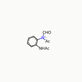 CC(=O)Nc1ccccc1[N+](C=O)C(C)=O